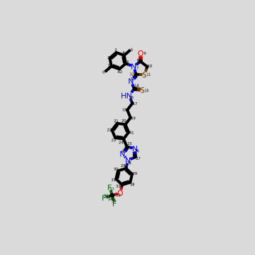 Cc1ccc(C)c(N2C(=O)CS/C2=N\C(=S)NCCCc2cccc(-c3ncn(-c4ccc(OC(F)(F)F)cc4)n3)c2)c1